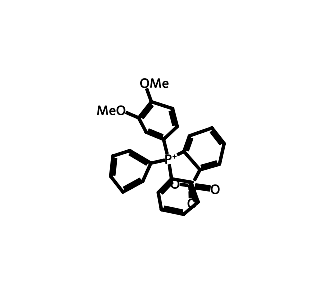 COc1ccc([P+](c2ccccc2)(c2ccccc2)c2ccccc2S(=O)(=O)[O-])cc1OC